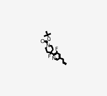 C=CCc1cnc(C2(F)CCN(C(=O)OC(C)(C)C)CC2)c(F)c1